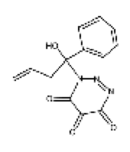 C=CCC(O)(c1ccccc1)N1N=NC(=O)C(=O)C1=O